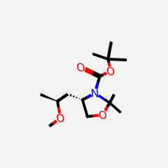 CO[C@@H](C)C[C@H]1COC(C)(C)N1C(=O)OC(C)(C)C